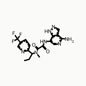 CCC(c1ccc(C(F)(F)F)cn1)N(C)C(=O)C(=O)Nc1cnc(N)c2cn[nH]c12